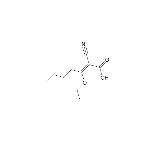 CCCC/C(OCC)=C(\C#N)C(=O)O